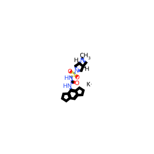 CN1C[C@H]2CN(S(=O)(=O)NC(=O)Nc3c4c(cc5c3CCC5)CCC4)C[C@H]21.[K]